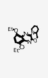 CCOc1ccc(OCC)c2nc3c(nc12)OCC1CCCCN31